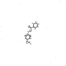 Cc1cnc(COC(=O)c2ccccc2)nc1